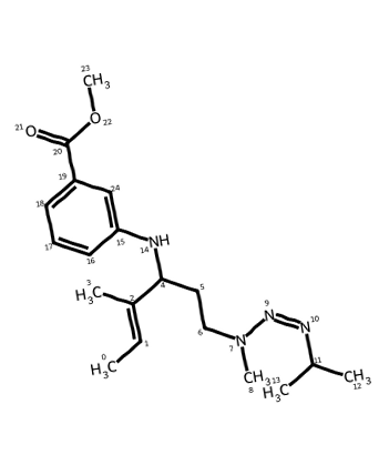 C/C=C(\C)C(CCN(C)/N=N\C(C)C)Nc1cccc(C(=O)OC)c1